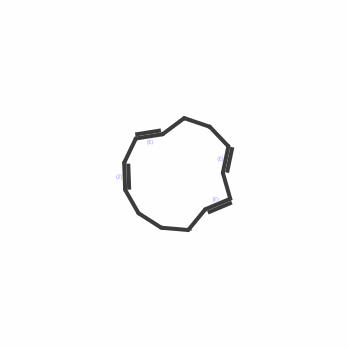 [CH]1/C=C/C=C/CC/C=C/C=C\CC1